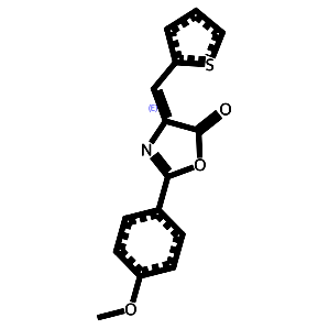 COc1ccc(C2=N/C(=C/c3cccs3)C(=O)O2)cc1